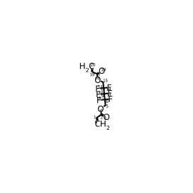 C=CC(=O)OCC(F)(F)C(F)(F)C(F)(F)COC(=O)C=C